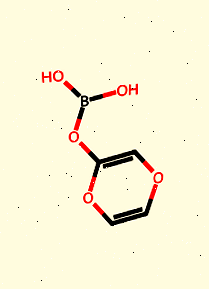 OB(O)OC1=COC=CO1